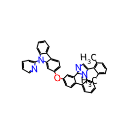 Cc1cccc(C)c1-c1cnc2c3cc(Oc4ccc5c6ccccc6n(-c6ccccn6)c5c4)ccc3c3ccccc3n12